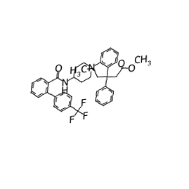 CCCC(CC(=O)OC)(c1ccccc1)c1ccccc1N1CCC(NC(=O)c2ccccc2-c2ccc(C(F)(F)F)cc2)CC1